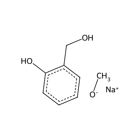 C[O-].OCc1ccccc1O.[Na+]